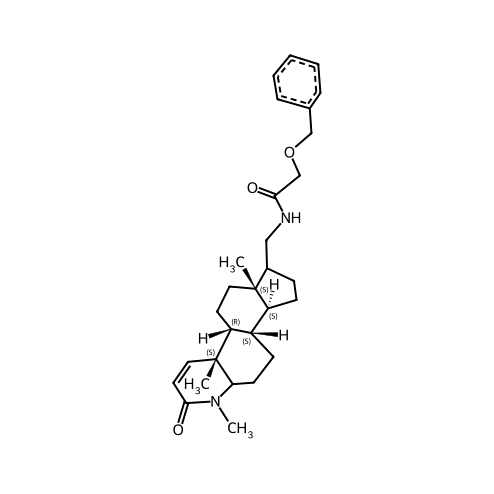 CN1C(=O)C=C[C@@]2(C)C1CC[C@@H]1[C@H]2CC[C@]2(C)C(CNC(=O)COCc3ccccc3)CC[C@@H]12